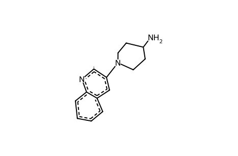 NC1CCN(c2[c]nc3ccccc3c2)CC1